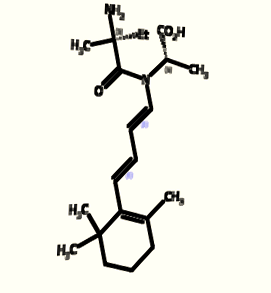 CC[C@](C)(N)C(=O)N(/C=C/C=C/C1=C(C)CCCC1(C)C)[C@@H](C)C(=O)O